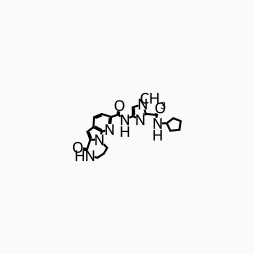 Cn1cc(NC(=O)c2ccc3cc4n(c3n2)CCCNC4=O)nc1C(=O)NC1CCCC1